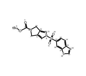 CC(C)(C)OC(=O)N1Cc2cn(S(=O)(=O)c3ccc4ncsc4c3)nc2C1